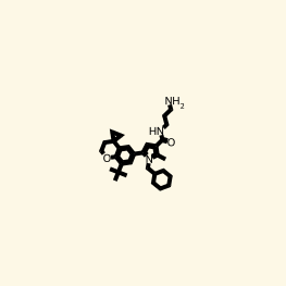 Cc1c(C(=O)NCCCN)cc(-c2cc(C(C)(C)C)c3c(c2)C2(CCO3)CC2)n1CC1CCCCC1